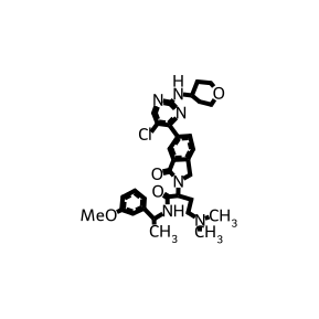 COc1cccc(C(C)NC(=O)C(CCN(C)C)N2Cc3ccc(-c4nc(NC5CCOCC5)ncc4Cl)cc3C2=O)c1